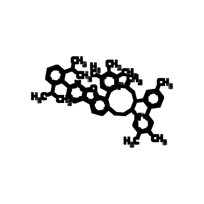 C=C1CC2c3cc(C)ccc3-c3cc(C)c(C)c[n+]3C2CCc2ccc3c(oc4nc(-c5c(C(C)C)cccc5C(C)C)ccc43)c2-c2cc(C)c(C)c(C)[n+]21